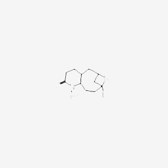 CCC12BC(CC3CCC(=O)N(C(C)C)C3CC1)C2